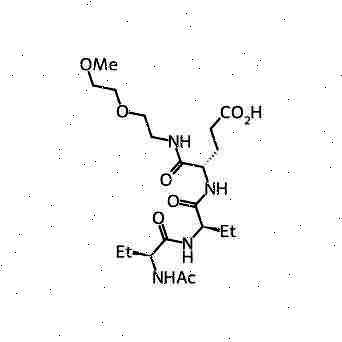 CC[C@H](NC(C)=O)C(=O)N[C@H](CC)C(=O)N[C@@H](CCC(=O)O)C(=O)NCCOCCOC